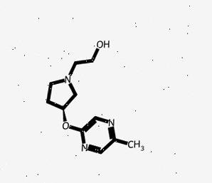 Cc1cnc(O[C@H]2CCN(CCO)C2)cn1